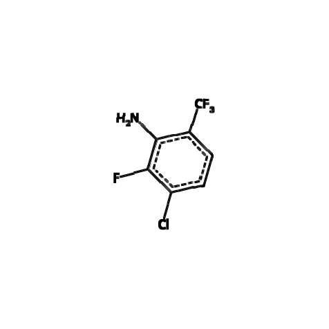 Nc1c(C(F)(F)F)ccc(Cl)c1F